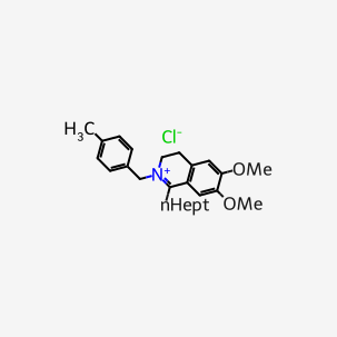 CCCCCCCC1=[N+](Cc2ccc(C)cc2)CCc2cc(OC)c(OC)cc21.[Cl-]